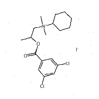 CC(C[N+](C)(C)C1CCCCC1)OC(=O)c1cc(Cl)cc(Cl)c1.[I-]